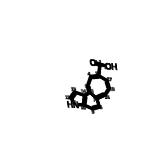 O=C(O)C1=C/C=c2\c(ccc3[nH]ccc23)=C/C=C\1